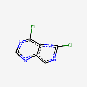 Clc1ncc2ncnc(Cl)c2n1